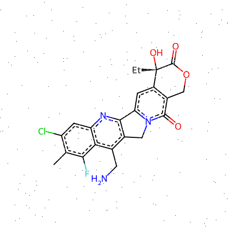 CC[C@@]1(O)C(=O)OCc2c1cc1n(c2=O)Cc2c-1nc1cc(Cl)c(C)c(F)c1c2CN